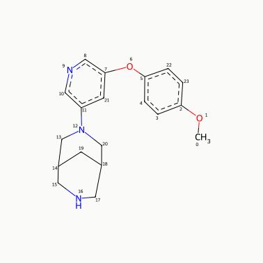 COc1ccc(Oc2cncc(N3CC4CNCC(C4)C3)c2)cc1